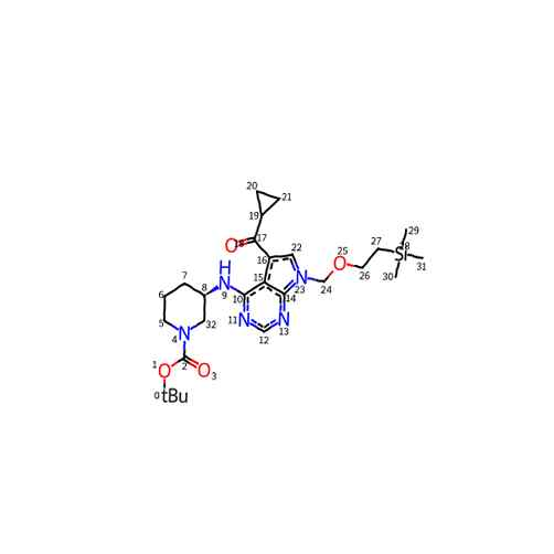 CC(C)(C)OC(=O)N1CCC[C@@H](Nc2ncnc3c2c(C(=O)C2CC2)cn3COCC[Si](C)(C)C)C1